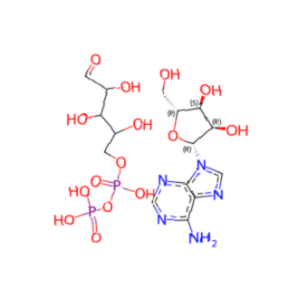 Nc1ncnc2c1ncn2[C@@H]1O[C@H](CO)[C@@H](O)[C@H]1O.O=CC(O)C(O)C(O)COP(=O)(O)OP(=O)(O)O